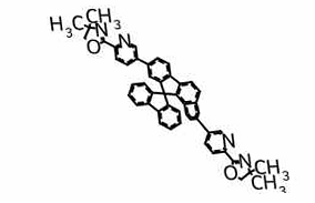 CC1(C)COC(c2ccc(-c3ccc4c(c3)C3(c5ccccc5-c5ccccc53)c3c-4ccc4cc(-c5ccc(C6=NC(C)(C)CO6)nc5)ccc34)cn2)=N1